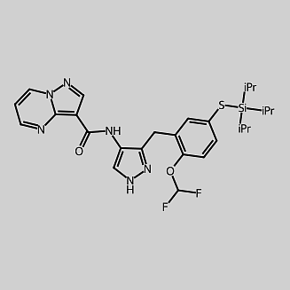 CC(C)[Si](Sc1ccc(OC(F)F)c(Cc2n[nH]cc2NC(=O)c2cnn3cccnc23)c1)(C(C)C)C(C)C